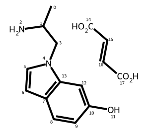 CC(N)Cn1ccc2ccc(O)cc21.O=C(O)/C=C/C(=O)O